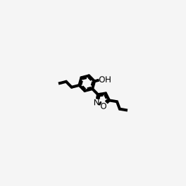 CCCc1ccc(O)c(-c2cc(CCC)on2)c1